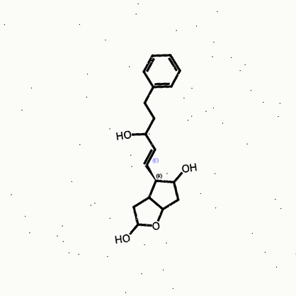 OC(/C=C/[C@H]1C(O)CC2OC(O)CC21)CCc1ccccc1